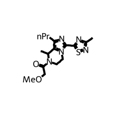 CCCc1nc(-c2nc(C)ns2)n2c1C(C)N(C(=O)COC)CC2